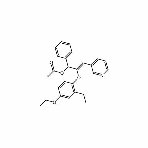 CCOc1ccc(OC(=Cc2cccnc2)C(OC(C)=O)c2ccccc2)c(CC)c1